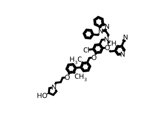 Cc1c(COc2cc(OCc3cncc(C#N)c3)c(CN(C)Cc3nc4ccccc4n3Cc3ccccc3)cc2Cl)cccc1-c1cccc(OCCCN2CC[C@@H](O)C2)c1C